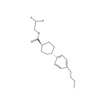 CCCCc1ccc([C@H]2CC[C@H](C(=O)OCC(F)F)CC2)cc1